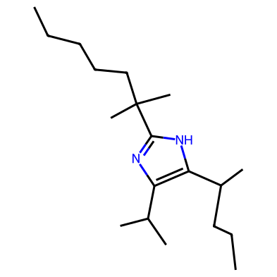 CCCCCC(C)(C)c1nc(C(C)C)c(C(C)CCC)[nH]1